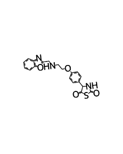 O=C1NC(c2ccc(OCCNCc3nc4ccccc4o3)cc2)C(=O)S1